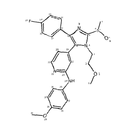 COCCn1c([S+](C)[O-])nc(-c2ccc(F)cc2)c1-c1ccnc(Nc2ccc(OC)cc2)c1